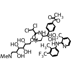 CNC[C@H](O)[C@@H](O)[C@H](O)[C@H](O)CO.CS(=O)(=O)c1ccc([C@@H](O)[C@@H](CF)NC(=O)C(Cl)Cl)cc1.Cc1c(Nc2ncccc2C(=O)O)cccc1C(F)(F)F